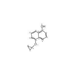 Oc1ccnc2c(OC3CC3)nccc12